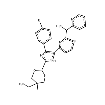 CC1(CN)COC(c2nc(-c3ccc(F)cc3)c(-c3ccnc(C(N)c4ccccn4)n3)[nH]2)OC1